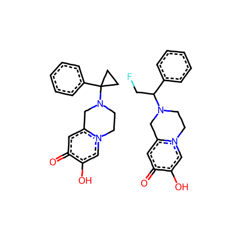 O=c1cc2n(cc1O)CCN(C(CF)c1ccccc1)C2.O=c1cc2n(cc1O)CCN(C1(c3ccccc3)CC1)C2